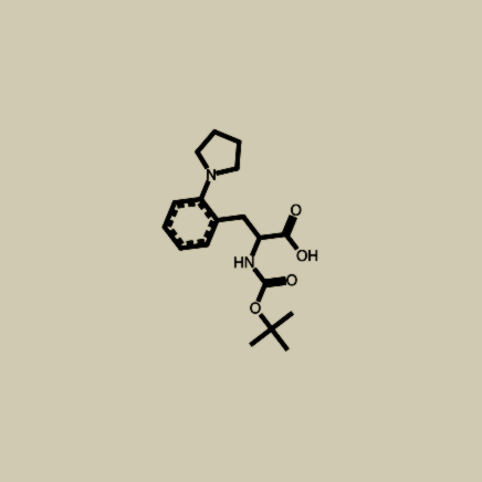 CC(C)(C)OC(=O)NC(Cc1ccccc1N1CCCC1)C(=O)O